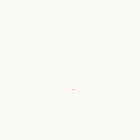 Oc1cc(Nc2[c]cccc2)ccn1